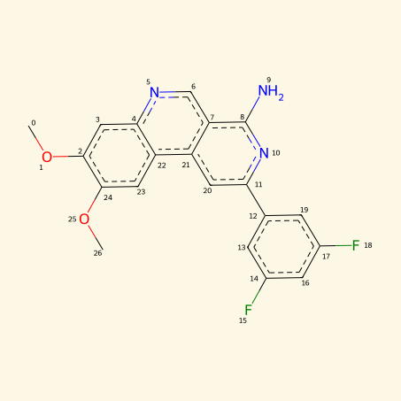 COc1cc2ncc3c(N)nc(-c4cc(F)cc(F)c4)cc3c2cc1OC